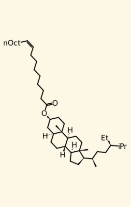 CCCCCCCC/C=C\CCCCCCCC(=O)O[C@H]1CC[C@@]2(C)[C@@H](CC[C@@H]3[C@@H]2CC[C@]2(C)[C@@H]([C@H](C)CC[C@@H](CC)C(C)C)CC[C@@H]32)C1